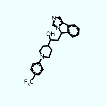 OC(CC1c2ccccc2-c2cncn21)C1CCN(c2ccc(C(F)(F)F)cc2)CC1